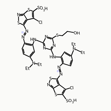 CCN(CC)c1ccc(/N=N/c2snc3sc(S(=O)(=O)O)c(Cl)c23)c(Nc2nc(Nc3cc(N(CC)CC)ccc3/N=N/c3snc4sc(S(=O)(=O)O)c(Cl)c34)nc(SCCO)n2)c1